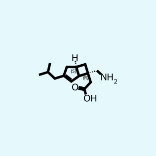 CC(C)CC1=CC2[C@@H](C1)C[C@@]2(CN)CC(=O)O